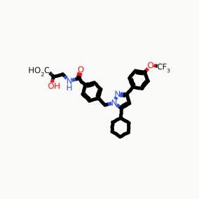 O=C(NCC(O)C(=O)O)c1ccc(Cn2nc(-c3ccc(OC(F)(F)F)cc3)cc2C2CCCCC2)cc1